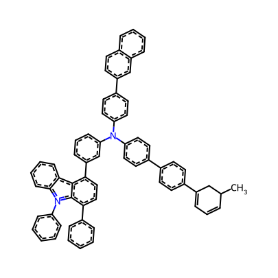 CC1C=CC=C(c2ccc(-c3ccc(N(c4ccc(-c5ccc6ccccc6c5)cc4)c4cccc(-c5ccc(-c6ccccc6)c6c5c5ccccc5n6-c5ccccc5)c4)cc3)cc2)C1